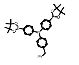 CC(C)Cc1ccc(N(c2ccc(B3OC(C)(C)C(C)(C)O3)cc2)c2ccc(B3OC(C)(C)C(C)(C)O3)cc2)cc1